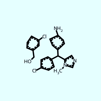 Cn1cncc1C(c1ccc(N)cc1)c1ccc(Cl)cc1.OCc1cccc(Cl)c1